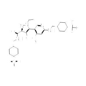 CCn1nc(C(=O)NC[C@H]2CC[C@@H](S(C)(=O)=O)CC2)c(Cl)c1-c1cnc(NC[C@H]2CC[C@H](C(F)(F)F)CC2)cc1OC